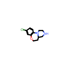 Clc1ccc2c(c1)OCCC1CNCCN21